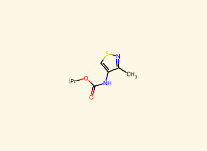 Cc1nscc1NC(=O)OC(C)C